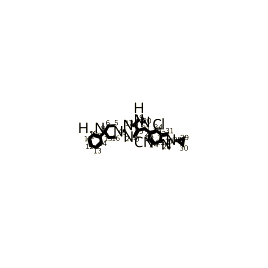 N#Cc1nc(N2CCC(N)(c3ccccc3)CC2)nc2[nH]nc(-c3ccc4nn(C5CC5)cc4c3Cl)c12